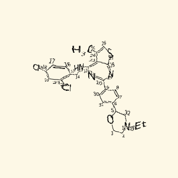 CCN1CCOC(c2ccc(-c3nc(NCc4ccc(Cl)cc4Cl)c4c(C)csc4n3)cc2)C1